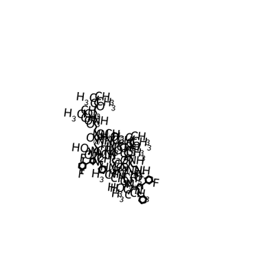 CC(C)[C@H](NC(=O)CC[C@H](N)C(=O)N[C@H](C(=O)N[C@@H](C)C(=O)N[C@@H](CCN(C(=O)CO)[C@@H](c1cc(-c2cc(F)ccc2F)cn1Cc1ccccc1)C(C)(C)C)C(=O)NCCC(=O)N[C@H](CCC(=O)OC(C)(C)C)C(=O)OC(C)(C)C)C(C)C)C(=O)N[C@@H](C)C(=O)N[C@@H](CCN(C(=O)CO)[C@@H](c1cc(-c2cc(F)ccc2F)cn1Cc1ccccc1)C(C)(C)C)C(=O)NCCC(=O)N[C@H](CCC(=O)OC(C)(C)C)C(=O)OC(C)(C)C